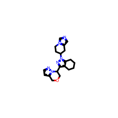 c1cc2n(n1)C(c1nn(C3CCn4cncc4C3)c3c1CCCC3)COC2